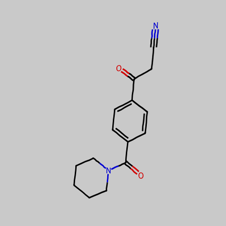 N#CCC(=O)c1ccc(C(=O)N2CCCCC2)cc1